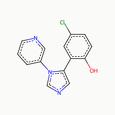 Oc1ccc(Cl)cc1-c1cncn1-c1cccnc1